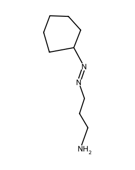 NCCCN=NC1CCCCC1